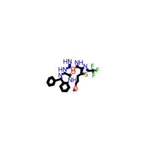 COCCCc1sc(C(F)(F)F)nc1C(=N)OC(=N)NC1N=C(c2ccccc2)c2ccccc2NC1=O